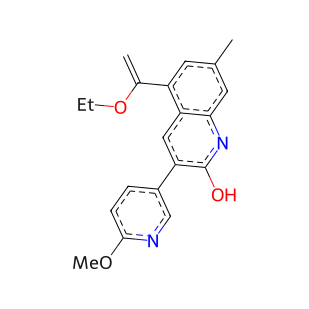 C=C(OCC)c1cc(C)cc2nc(O)c(-c3ccc(OC)nc3)cc12